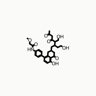 COCC(=O)Nc1ccc(-c2ccc(O)c3c2CC(CC(CCO)C(CO)C(=O)CC(C)=O)CC3=O)cc1